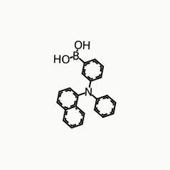 OB(O)c1cccc(N(c2ccccc2)c2cccc3ccccc23)c1